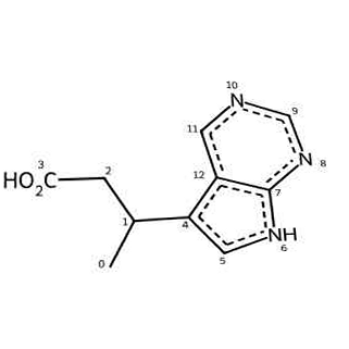 CC(CC(=O)O)c1c[nH]c2ncncc12